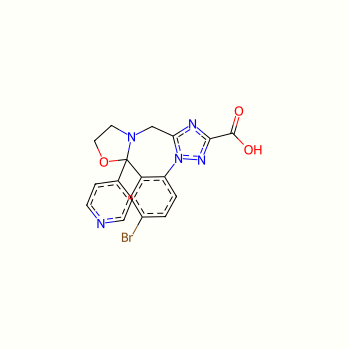 O=C(O)c1nc2n(n1)-c1ccc(Br)cc1C1(c3ccncc3)OCCN1C2